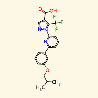 CC(C)COc1cccc(-c2cccc(-n3ncc(C(=O)O)c3C(F)(F)F)n2)c1